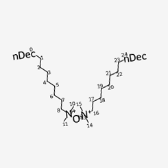 CCCCCCCCCCCCCCCCCC[N+](C)(C)O[N+](C)(C)CCCCCCCCCCCCCCCCCC